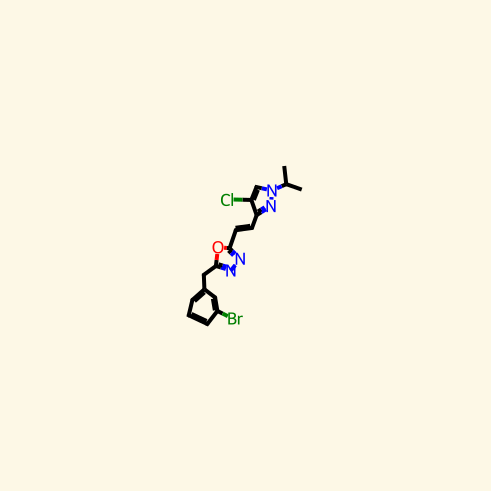 CC(C)n1cc(Cl)c(C=Cc2nnc(Cc3cccc(Br)c3)o2)n1